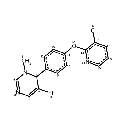 CCC1=CN=CN(C)C1c1ccc(Oc2ncccc2Cl)cc1